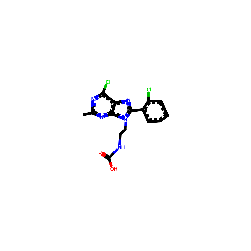 Cc1nc(Cl)c2nc(-c3ccccc3Cl)n(CCNC(=O)O)c2n1